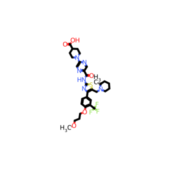 COCCCOc1ccc(-c2nc(NC(=O)c3cnc(N4CCC(C(=O)O)CC4)cn3)sc2CN2CCCC[C@H]2C)cc1C(F)(F)F